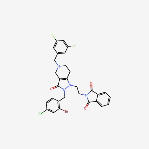 O=C1c2ccccc2C(=O)N1CCn1c2c(c(=O)n1Cc1ccc(Cl)cc1Br)CN(Cc1cc(F)cc(F)c1)CC2